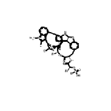 CC(C)[C@H](OP(=O)(O)O)C(=O)N[C@H]1Cc2ccc3c(c2)[C@]24c5cccc(c5NC2O3)-c2cccc3c2c(c(Cl)n3C)-c2oc(nc2Cl)-c2nc(oc24)[C@H](C(C)C)NC1=O